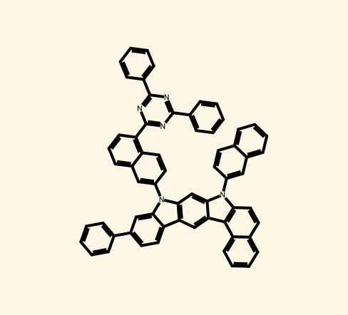 c1ccc(-c2ccc3c4cc5c6c7ccccc7ccc6n(-c6ccc7ccccc7c6)c5cc4n(-c4ccc5c(-c6nc(-c7ccccc7)nc(-c7ccccc7)n6)cccc5c4)c3c2)cc1